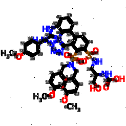 COc1ccc(CN(Cc2ccc(OC)cc2)S(=O)(=O)c2c(S(=O)(=O)NCC(CO)NC(=O)O)ccc(-c3cccc4[nH]c(N)nc34)c2-c2nnn(Cc3ccc(OC)cc3)n2)cc1